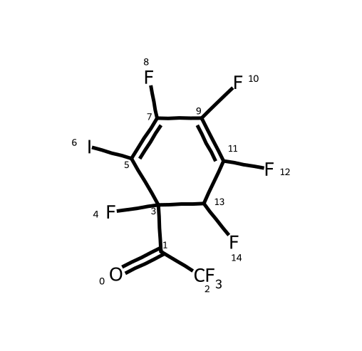 O=C(C(F)(F)F)C1(F)C(I)=C(F)C(F)=C(F)C1F